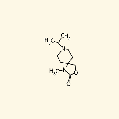 CC(C)N1CCC2(CC1)COC(=O)N2C